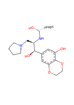 CCCCCCC[C@@H](O)N[C@H](CN1CCCC1)[C@H](O)c1cc(O)c2c(c1)OCCO2